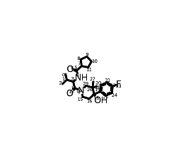 CC(C)C(NC(=O)C1CCCC1)C(=O)N1CCC(O)(c2ccc(F)cc2)C(C)(C)C1